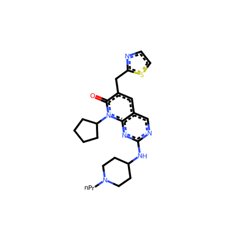 CCCN1CCC(Nc2ncc3cc(Cc4nccs4)c(=O)n(C4CCCC4)c3n2)CC1